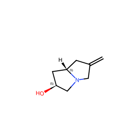 C=C1C[C@H]2C[C@H](O)CN2C1